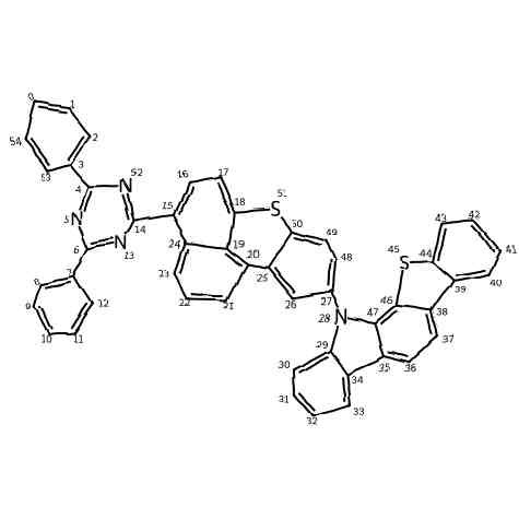 c1ccc(-c2nc(-c3ccccc3)nc(-c3ccc4c5c(cccc35)-c3cc(-n5c6ccccc6c6ccc7c8ccccc8sc7c65)ccc3S4)n2)cc1